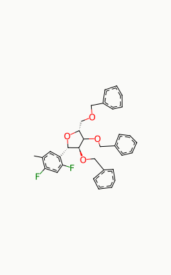 Cc1cc([C@@H]2O[C@H](COCc3ccccc3)C(OCc3ccccc3)[C@H]2OCc2ccccc2)c(F)cc1F